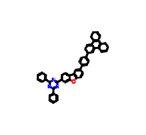 C1=Cc2c(c3c(c4c2=CC(c2ccc(-c5ccc6oc7cc(-c8nc(-c9ccccc9)nc(-c9ccccc9)n8)ccc7c6c5)cc2)CC=4)CCC=C3)CC1